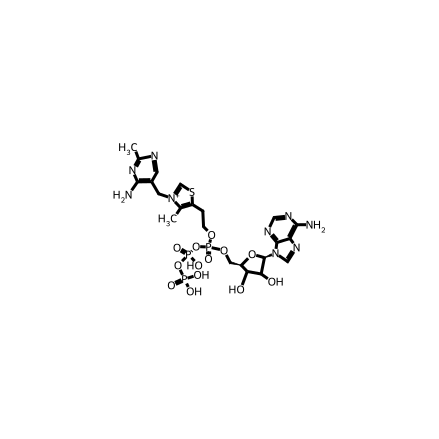 Cc1ncc(C[n+]2csc(CCOP(=O)(OC[C@H]3O[C@@H](n4cnc5c(N)ncnc54)C(O)C3O)OP(=O)(O)OP(=O)(O)O)c2C)c(N)n1